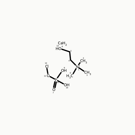 C[N+](C)(C)CCO.O=P(O)(O)OCl.[CaH2]